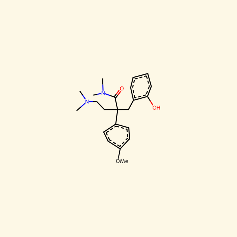 COc1ccc(C(CCN(C)C)(Cc2ccccc2O)C(=O)N(C)C)cc1